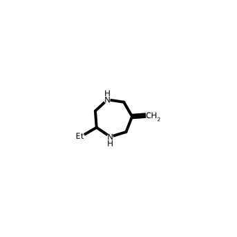 C=C1CNCC(CC)NC1